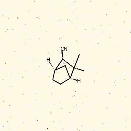 CC1(C)[C@H]2CC[C@H](C2)[C@H]1C#N